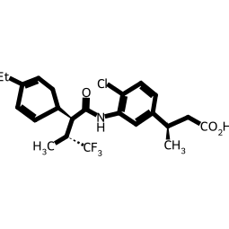 CCC1=CCC([C@@H](C(=O)Nc2cc([C@H](C)CC(=O)O)ccc2Cl)[C@@H](C)C(F)(F)F)C=C1